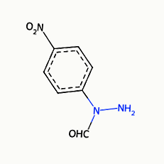 NN(C=O)c1ccc([N+](=O)[O-])cc1